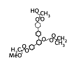 C=C(C)C(=O)OCCOc1ccc(-c2ccc(OC(=O)C(=C)COC)cc2)cc1-c1ccc(C2CCC(OC(=O)C(C)CO)CC2)cc1